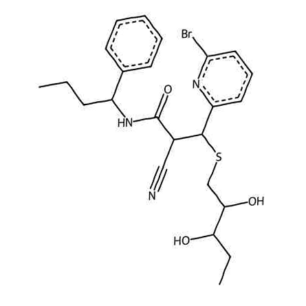 CCCC(NC(=O)C(C#N)C(SCC(O)C(O)CC)c1cccc(Br)n1)c1ccccc1